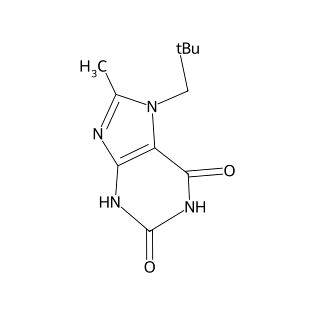 Cc1nc2[nH]c(=O)[nH]c(=O)c2n1CC(C)(C)C